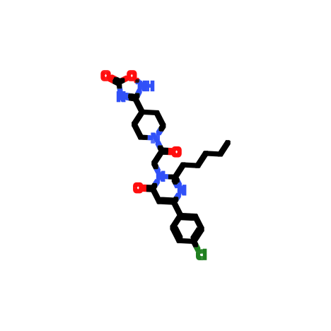 CCCCCc1nc(-c2ccc(Cl)cc2)cc(=O)n1CC(=O)N1CCC(c2nc(=O)o[nH]2)CC1